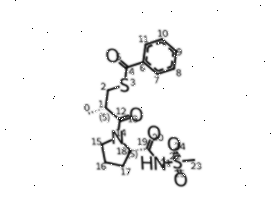 C[C@H](CSC(=O)c1ccccc1)C(=O)N1CCC[C@H]1C(=O)NS(C)(=O)=O